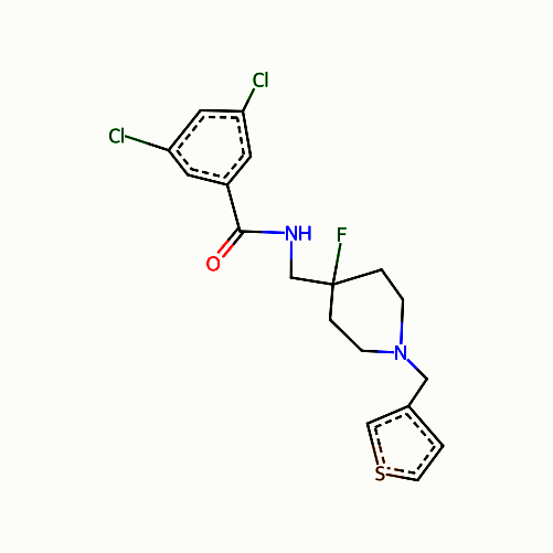 O=C(NCC1(F)CCN(Cc2ccsc2)CC1)c1cc(Cl)cc(Cl)c1